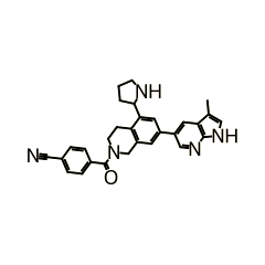 Cc1c[nH]c2ncc(-c3cc4c(c(C5CCCN5)c3)CCN(C(=O)c3ccc(C#N)cc3)C4)cc12